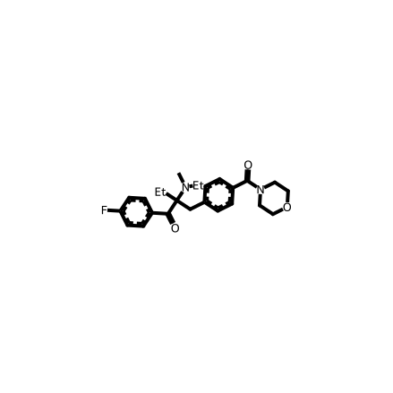 CCN(C)C(CC)(Cc1ccc(C(=O)N2CCOCC2)cc1)C(=O)c1ccc(F)cc1